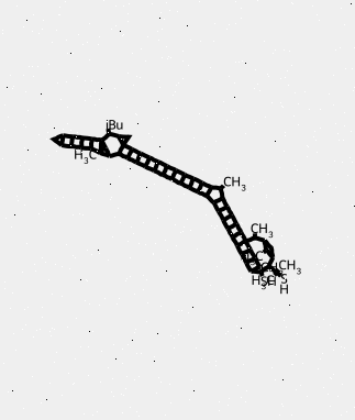 CCC(C)C1C2CC23C2C4C5C6C7C8C9C%10C%11C%12C(C)C%13C(C%12C%11C%10C9C8C7C6C5C4C2C3C2C(C)C13C1C4C5C6CC6C5C4C1C23)C1C%13C2C1C1C2C2C1C1C3C4C5C(C)C4C3C21C(C)C1CC(C1C)C(C(C)(C)S)C5S